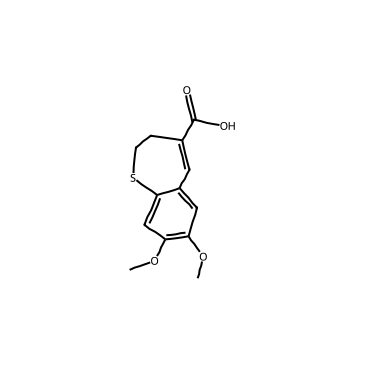 COc1cc2c(cc1OC)SCCC(C(=O)O)=C2